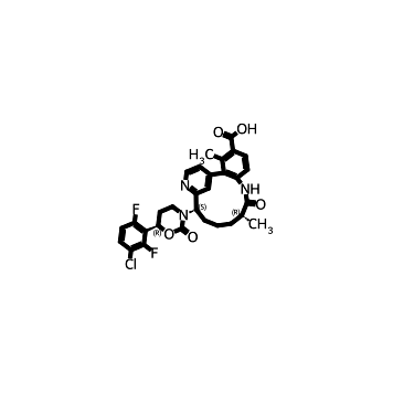 Cc1c(C(=O)O)ccc2c1-c1ccnc(c1)[C@@H](N1CC[C@H](c3c(F)ccc(Cl)c3F)OC1=O)CCC[C@@H](C)C(=O)N2